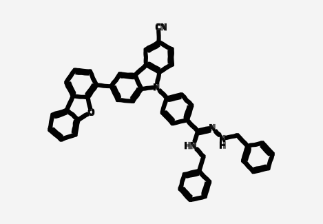 N#Cc1ccc2c(c1)c1cc(-c3cccc4c3oc3ccccc34)ccc1n2-c1ccc(/C(=N/NCc2ccccc2)NCc2ccccc2)cc1